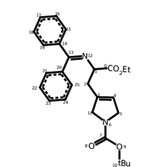 CCOC(=O)C(CC1=CCN(C(=O)OC(C)(C)C)C1)N=C(c1ccccc1)c1ccccc1